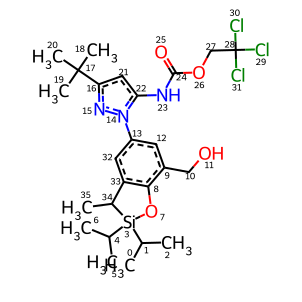 CC(C)[Si]1(C(C)C)Oc2c(CO)cc(-n3nc(C(C)(C)C)cc3NC(=O)OCC(Cl)(Cl)Cl)cc2C1C